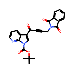 CC(C)(C)OC(=O)n1cc(C(=O)C#CCN2C(=O)c3ccccc3C2=O)c2cccnc21